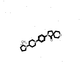 C[C@H]1CCCN1C1CCN(c2ccc(N3CCC4(CCOCC4)C3=O)cc2)CC1